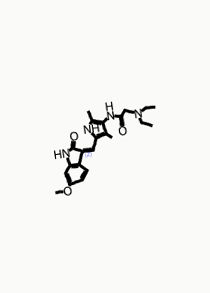 CCN(CC)CC(=O)Nc1c(C)[nH]c(/C=C2\C(=O)Nc3cc(OC)ccc32)c1C